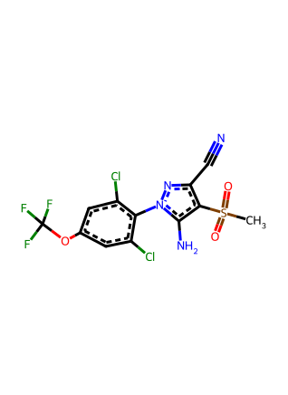 CS(=O)(=O)c1c(C#N)nn(-c2c(Cl)cc(OC(F)(F)F)cc2Cl)c1N